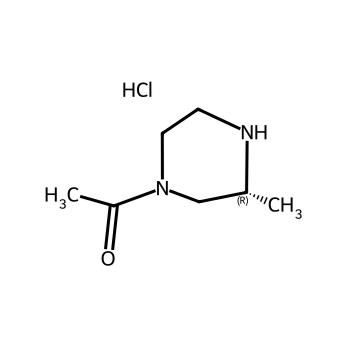 CC(=O)N1CCN[C@H](C)C1.Cl